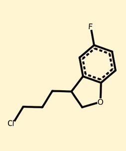 Fc1ccc2c(c1)C(CCCCl)CO2